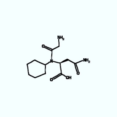 NCC(=O)N(C1CCCCC1)[C@@H](CC(N)=O)C(=O)O